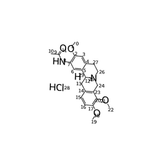 COc1cc2c(cc1NC(C)=O)[C@@H]1Cc3ccc(OC)c(OC)c3CN1CC2.Cl